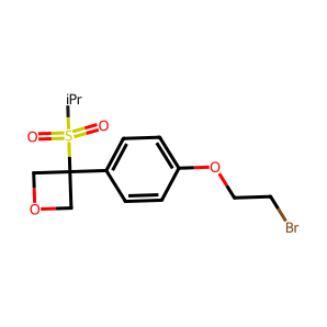 CC(C)S(=O)(=O)C1(c2ccc(OCCBr)cc2)COC1